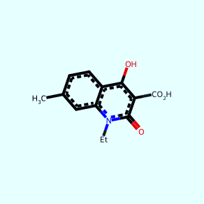 CCn1c(=O)c(C(=O)O)c(O)c2ccc(C)cc21